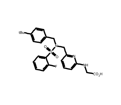 CC(C)(C)c1ccc(CN(Cc2cccc(NCC(=O)O)n2)S(=O)(=O)c2ccccc2F)cc1